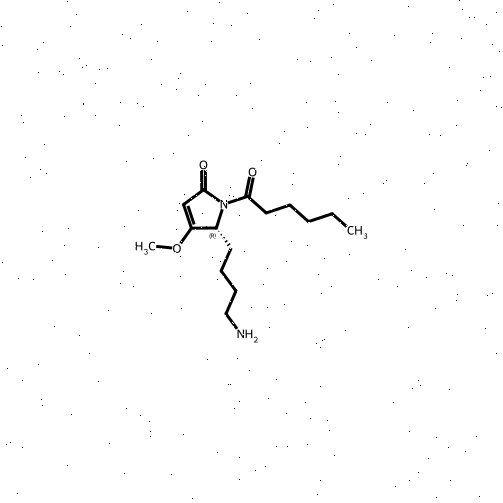 CCCCCC(=O)N1C(=O)C=C(OC)[C@H]1CCCCN